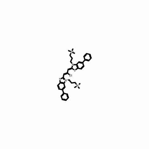 CCC(/C=C1\Sc2ccc(-c3ccccc3)cc2N1CCC[N+](C)(C)C)=C\c1sc2ccc(-c3ccccc3)cc2[n+]1CCC[N+](C)(C)C